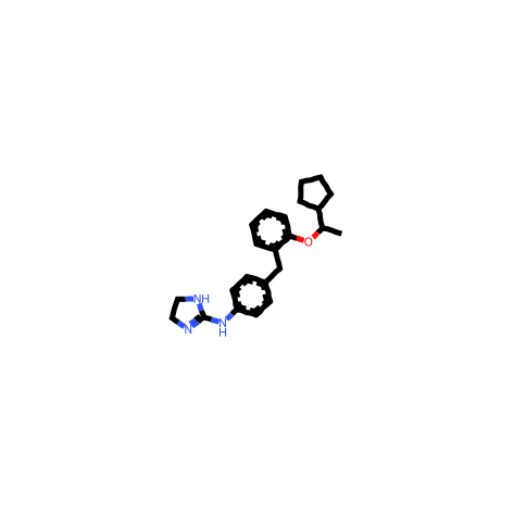 CC(Oc1ccccc1Cc1ccc(NC2=NCCN2)cc1)C1CCCC1